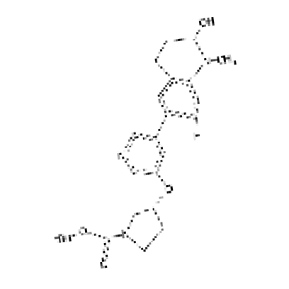 CN1c2cc(F)c(-c3cncc(O[C@@H]4CCN(C(=O)OC(C)(C)C)C4)c3)cc2CCC1O